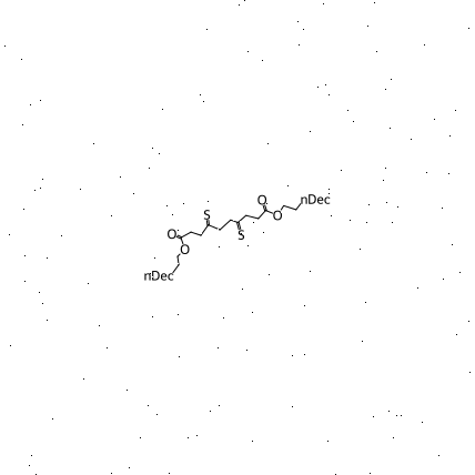 CCCCCCCCCCCCOC(=O)CCC(=S)CCC(=S)CCC(=O)OCCCCCCCCCCCC